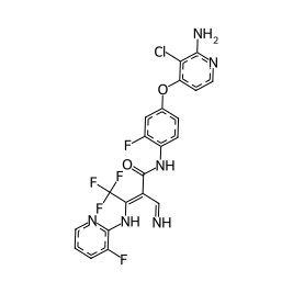 N=C/C(C(=O)Nc1ccc(Oc2ccnc(N)c2Cl)cc1F)=C(\Nc1ncccc1F)C(F)(F)F